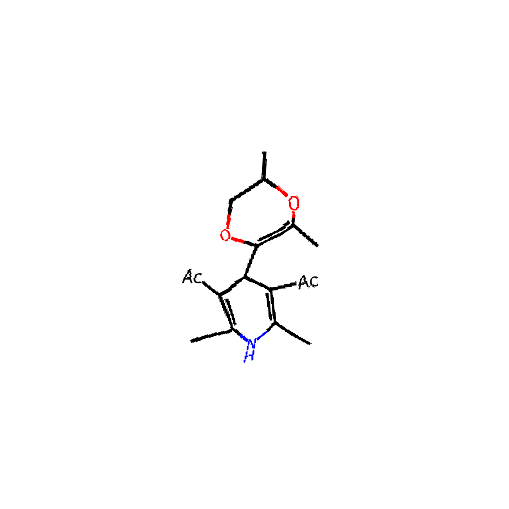 CC(=O)C1=C(C)NC(C)=C(C(C)=O)C1C1=C(C)OC(C)CO1